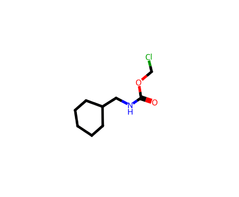 O=C(NCC1CCCCC1)OCCl